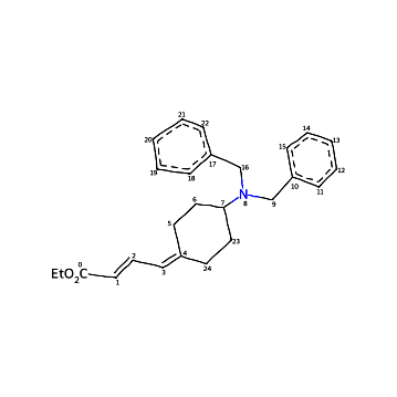 CCOC(=O)C=CC=C1CCC(N(Cc2ccccc2)Cc2ccccc2)CC1